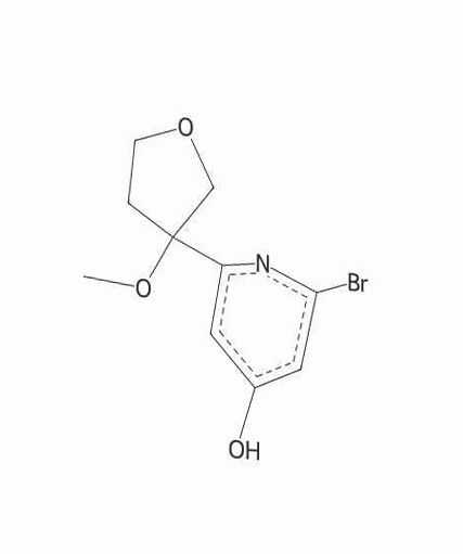 COC1(c2cc(O)cc(Br)n2)CCOC1